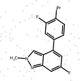 CC(C)c1ccc(-c2cc(F)cc3nn(C)cc23)cc1F